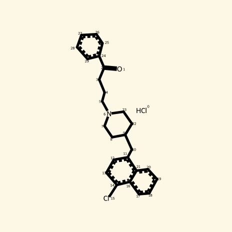 Cl.O=C(CCCN1CCC(Cc2ccc(Cl)c3ccccc23)CC1)c1ccccc1